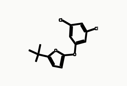 CC(C)(C)c1ccc(Oc2cc(Cl)cc(Cl)c2)o1